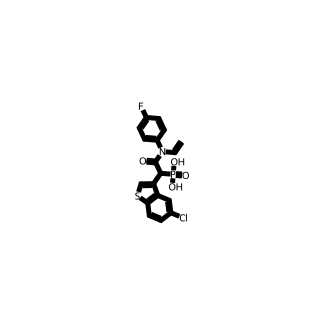 C=CN(C(=O)C(c1csc2ccc(Cl)cc12)P(=O)(O)O)c1ccc(F)cc1